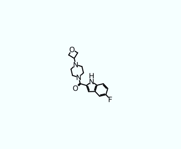 O=C(c1cc2cc(F)ccc2[nH]1)N1CCN(C2COC2)CC1